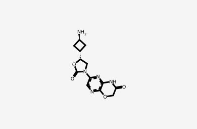 N[C@H]1C[C@H](C2CN(c3cnc4c(n3)NC(=O)CO4)C(=O)O2)C1